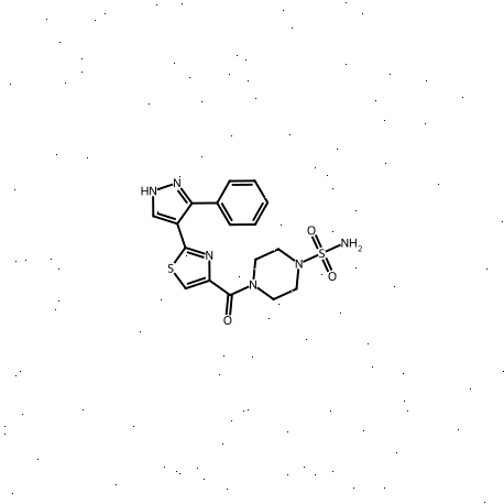 NS(=O)(=O)N1CCN(C(=O)c2csc(-c3c[nH]nc3-c3ccccc3)n2)CC1